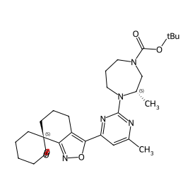 Cc1cc(-c2onc3c2CCC[C@@]32CCCCC23OCCO3)nc(N2CCCN(C(=O)OC(C)(C)C)C[C@@H]2C)n1